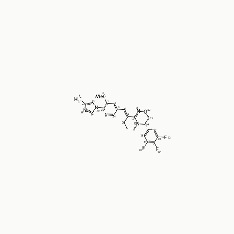 COc1cc(/C=C2\CCCN3C2=NOC[C@@H]3c2cc(F)c(F)c(F)c2)ccc1-n1cnc(C)c1